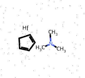 C1=CCC=C1.CN(C)C.[Hf]